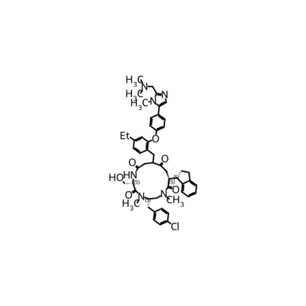 CCc1ccc(CC2CC(=O)N[C@@H](CO)C(=O)N(C)[C@@H](Cc3ccc(Cl)cc3)CN(C)C(=O)[C@H]([C@@H]3CCc4ccccc43)CC2=O)c(Oc2ccc(-c3cnc(CN(C)C)n3C)cc2)c1